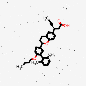 CC#C[C@@H](CC(=O)O)c1ccc2c(c1)CCC(c1ccc(OCCCC)c(-c3c(C)cccc3C)c1)O2